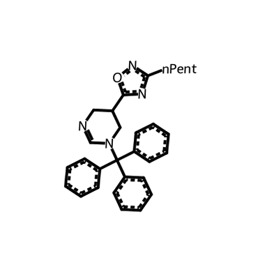 CCCCCc1noc(C2CN=CN(C(c3ccccc3)(c3ccccc3)c3ccccc3)C2)n1